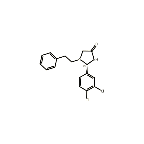 O=C1CN(CCc2ccccc2)[C@H](c2ccc(Cl)c(Cl)c2)N1